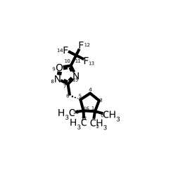 CC1(C)CC[C@@H](Cc2noc(C(F)(F)F)n2)C1(C)C